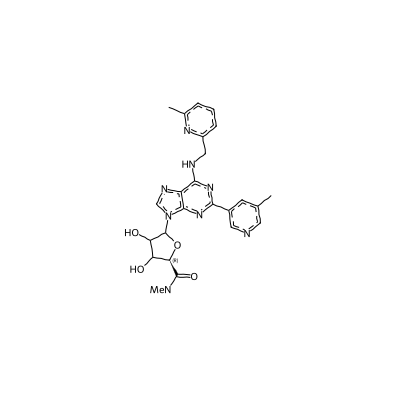 CNC(=O)[C@@H]1OC(n2cnc3c(NCc4cccc(C)n4)nc(-c4cncc(C)c4)nc32)C(O)C1O